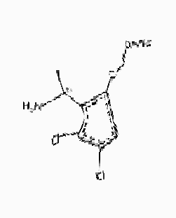 COCOc1ccc(Cl)c(Cl)c1[C@H](C)N